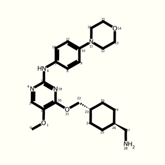 COc1cnc(Nc2ccc(N3CCOCC3)cc2)nc1OC[C@H]1CC[C@H](CN)CC1